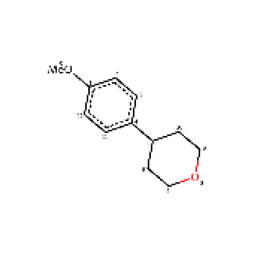 [CH2]Oc1ccc(C2CCOCC2)cc1